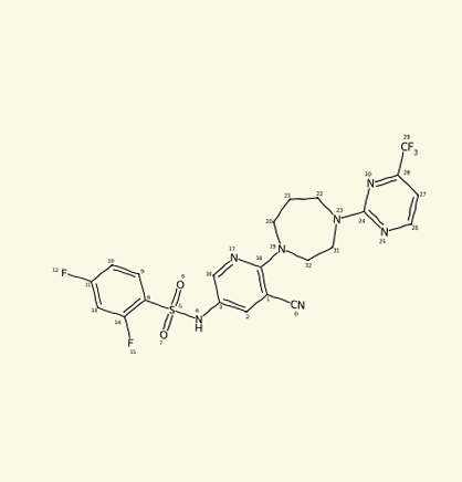 N#Cc1cc(NS(=O)(=O)c2ccc(F)cc2F)cnc1N1CCCN(c2nccc(C(F)(F)F)n2)CC1